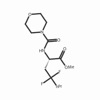 CCCC(F)(F)C[C@H](NC(=O)N1CCOCC1)C(=O)OC